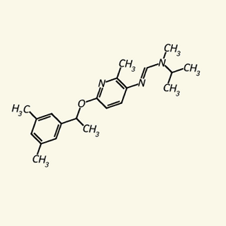 Cc1cc(C)cc(C(C)Oc2ccc(/N=C/N(C)C(C)C)c(C)n2)c1